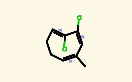 CC1=C/CC/C=C(Cl)/C(Cl)=C\1